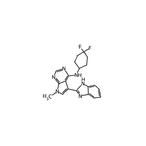 Cn1cc(-c2nc3ccccc3[nH]2)c2c(NC3CCC(F)(F)CC3)ncnc21